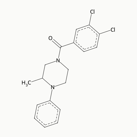 CC1CN(C(=O)c2ccc(Cl)c(Cl)c2)CCN1c1ccccc1